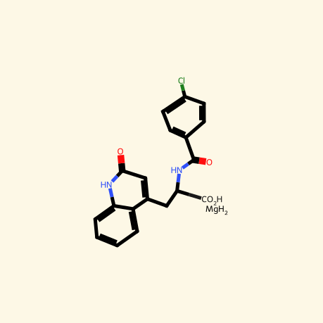 O=C(NC(Cc1cc(=O)[nH]c2ccccc12)C(=O)O)c1ccc(Cl)cc1.[MgH2]